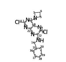 Clc1nc(N2CCC2)c2nc(Cl)c(NCc3ccccc3)nc2n1